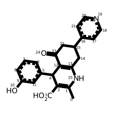 CC1=C(C(=O)O)C(c2cccc(O)c2)C2=C(CC(c3ccncc3)CC2=O)N1